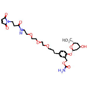 NC(=O)OCc1cc(CCCOCCOCCOCCNC(=O)CCN2C(=O)C=CC2=O)ccc1O[C@H]1C[C@@H](O)C[C@@H](C(=O)O)O1